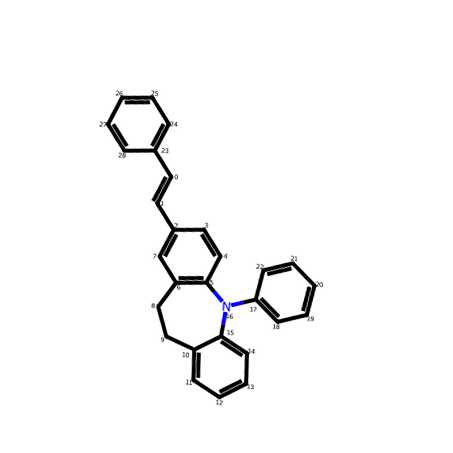 C(=C\c1ccc2c(c1)CCc1ccccc1N2c1ccccc1)/c1ccccc1